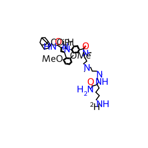 [2H]NCCCCC(NCN(C)CCCN(C)CCCN(C)C(=O)c1ccc(-n2nc(C(=O)NC3(C(=O)O)C4CC5CC(C4)CC3C5)cc2-c2c(OC)cccc2OC)c(C(C)C)c1)C(N)=O